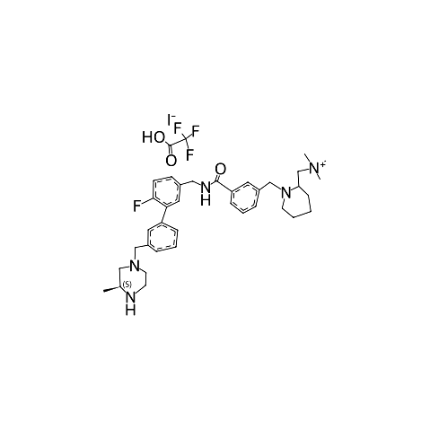 C[C@H]1CN(Cc2cccc(-c3cc(CNC(=O)c4cccc(CN5CCCCC5C[N+](C)(C)C)c4)ccc3F)c2)CCN1.O=C(O)C(F)(F)F.[I-]